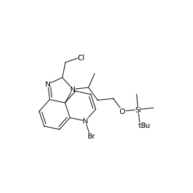 CC(CCO[Si](C)(C)C(C)(C)C)N1C(CCl)N=C2C=CC=C3N(Br)C=CCC321